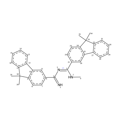 CN/C(=N\C(=N)c1ccc2c(c1)-c1ccccc1C2(C)C)c1ccc2c(c1)-c1ccccc1C2(C)C